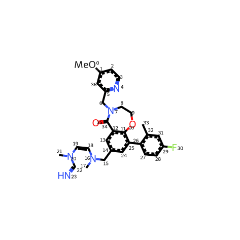 COc1ccnc(CN2CCOc3c(cc(CN(C)/C=C\N(C)C=N)cc3-c3ccc(F)cc3C)C2=O)c1